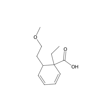 CCC1(C(=O)O)C=CC=CC1CCOC